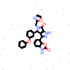 O=C1c2[nH]nc(-c3cccc4[nH]c(=O)oc34)c2C(c2cccc(Oc3ccccc3)c2)N1Cc1ncco1